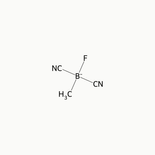 C[B-](F)(C#N)C#N